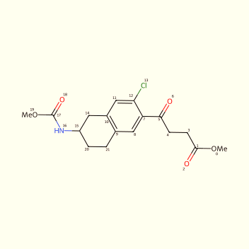 COC(=O)CCC(=O)c1cc2c(cc1Cl)CC(NC(=O)OC)CC2